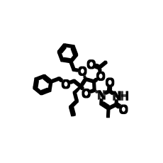 C=CCC[C@]1(COCc2ccccc2)O[C@@H](n2cc(C)c(=O)[nH]c2=O)C(OC(C)=O)[C@H]1OCc1ccccc1